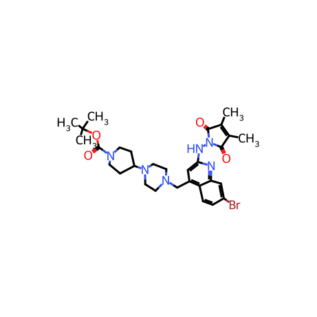 CC1=C(C)C(=O)N(Nc2cc(CN3CCN(C4CCN(C(=O)OC(C)(C)C)CC4)CC3)c3ccc(Br)cc3n2)C1=O